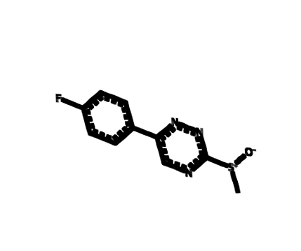 C[S+]([O-])c1ncc(-c2ccc(F)cc2)nn1